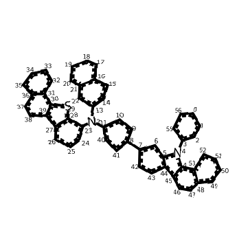 c1ccc(-n2c3cc(-c4ccc(N(c5ccc6ccccc6c5)c5cccc6c5sc5c7ccccc7ccc65)cc4)ccc3c3ccc4ccccc4c32)cc1